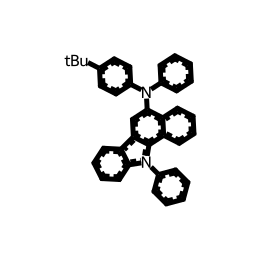 CC(C)(C)c1ccc(N(c2ccccc2)c2cc3c4ccccc4n(-c4ccccc4)c3c3ccccc23)cc1